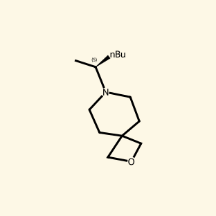 CCCC[C@H](C)N1CCC2(CC1)COC2